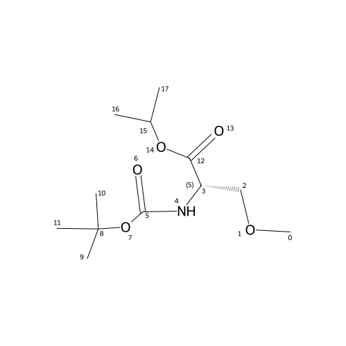 COC[C@H](NC(=O)OC(C)(C)C)C(=O)OC(C)C